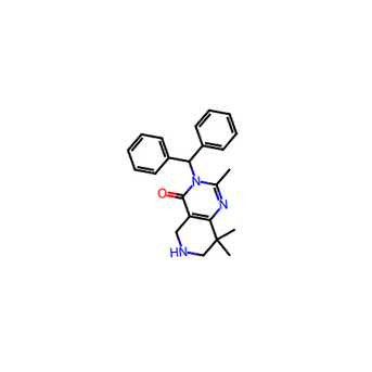 Cc1nc2c(c(=O)n1C(c1ccccc1)c1ccccc1)CNCC2(C)C